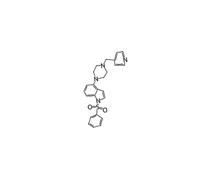 O=S(=O)(c1ccccc1)n1ccc2c(N3CCN(Cc4ccncc4)CC3)cccc21